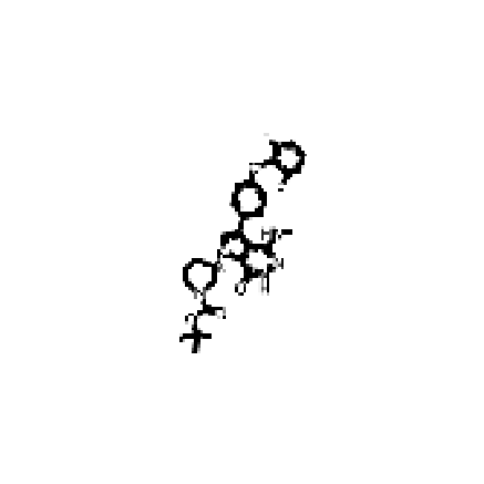 CNc1n[nH]c(=O)c2c1c(-c1ccc(Oc3c(F)cccc3F)cc1)cn2[C@@H]1CCCN(C(=O)OC(C)(C)C)C1